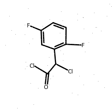 O=C(Cl)C(Cl)c1cc(F)ccc1F